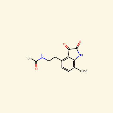 COc1ccc(CCNC(=O)C(F)(F)F)c2c1NC(=O)C2=O